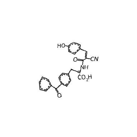 N#CC(=Cc1ccc(O)cc1)C(=O)N[C@@H](Cc1ccc(C(=O)c2ccccc2)cc1)C(=O)O